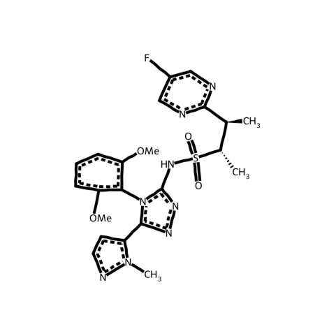 COc1cccc(OC)c1-n1c(NS(=O)(=O)[C@@H](C)[C@H](C)c2ncc(F)cn2)nnc1-c1ccnn1C